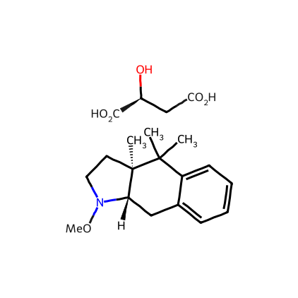 CON1CC[C@]2(C)[C@@H]1Cc1ccccc1C2(C)C.O=C(O)C[C@H](O)C(=O)O